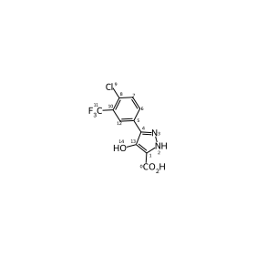 O=C(O)c1[nH]nc(-c2ccc(Cl)c(C(F)(F)F)c2)c1O